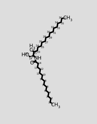 CCCCCCCCCCCCCCCC(=O)N[C@@H](CO)C(C)CCCCCCCCCCCCCCC